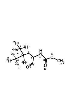 [2H]C([2H])([2H])C([2H])(CC(C=O)NC(=O)OC)C([2H])([2H])[2H]